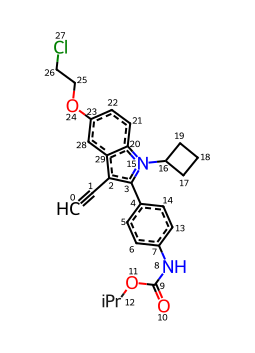 C#Cc1c(-c2ccc(NC(=O)OC(C)C)cc2)n(C2CCC2)c2ccc(OCCCl)cc12